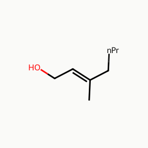 CCCCC(C)=CCO